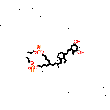 C=C1C(=CC=C2CCC[C@@]3(C)C2CC[C@@H]3[C@H](C)C=CC(CCCCO[PH](=O)OCCC)CCCCO[PH](=O)OCCC)C[C@@H](O)C[C@@H]1O